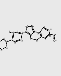 Cc1cc(-c2onc3c2CCc2cc(C=O)ccc2-3)ccc1C1CCCCC1